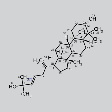 C=C(C/C=C/C(C)(C)O)[C@H]1CC[C@]2(C)[C@@H]1CC[C@@H]1[C@@]3(C)CC[C@H](O)C(C)(C)[C@@H]3CC[C@]12C